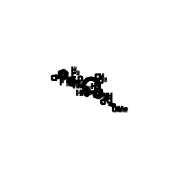 COCCOC(=O)Nc1ccc2c(c1)NC(=O)[C@@H](C)CCCC(NC(=O)c1cnn(-c3cccc(Cl)c3F)c1C)c1nc-2c[nH]1